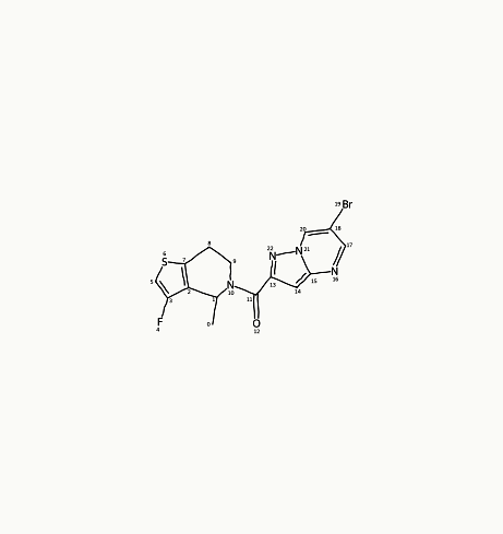 CC1c2c(F)csc2CCN1C(=O)c1cc2ncc(Br)cn2n1